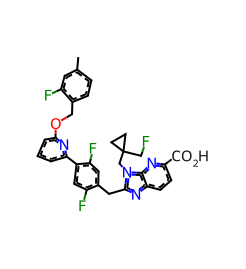 Cc1ccc(COc2cccc(-c3cc(F)c(Cc4nc5ccc(C(=O)O)nc5n4CC4(CF)CC4)cc3F)n2)c(F)c1